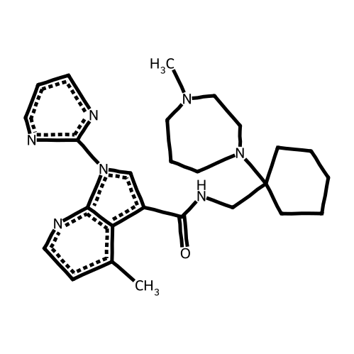 Cc1ccnc2c1c(C(=O)NCC1(N3CCCN(C)CC3)CCCCC1)cn2-c1ncccn1